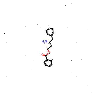 N[C@@H](CCOC(=O)c1ccccc1)Cc1ccccc1